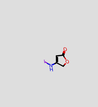 O=C1C=C(NI)CO1